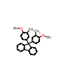 Cc1cc(C2(c3ccc(OC(C)(C)C)c(C)c3)c3ccccc3-c3ccccc32)ccc1OC(C)(C)C